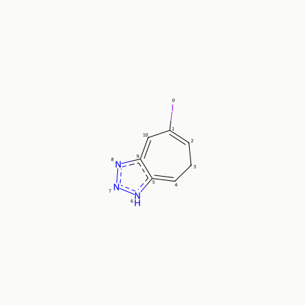 IC1=CCC=c2[nH]nnc2=C1